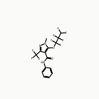 Cn1nc(C(F)(F)F)c(C(=O)Nc2ccccc2)c1OC(F)(F)C(F)(F)C(F)F